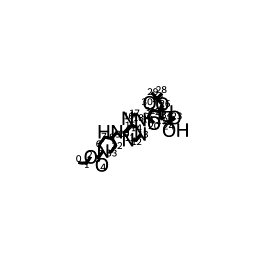 CCOC(=O)N1CCC(Nc2ncnc3c2ncn3[C@@H]2O[C@H](C(=O)O)[C@H]3OC(C)(C)OC23)CC1